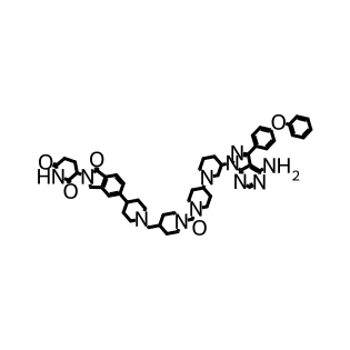 Nc1ncnc2c1c(-c1ccc(Oc3ccccc3)cc1)nn2C1CCCN(C2CCN(C(=O)N3CCC(CN4CCC(c5ccc6c(c5)CN(C5CCC(=O)NC5=O)C6=O)CC4)CC3)CC2)C1